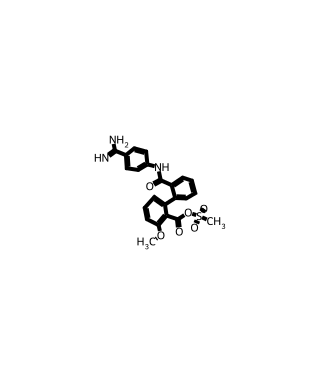 COc1cccc(-c2ccccc2C(=O)Nc2ccc(C(=N)N)cc2)c1C(=O)OS(C)(=O)=O